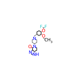 CCOc1cc(CN2CCC(n3ccc4[nH]cnc4c3=O)CC2)ccc1OC(F)F